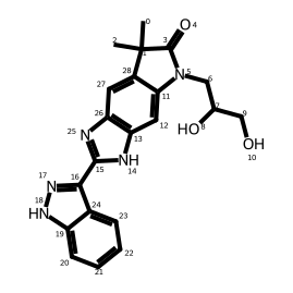 CC1(C)C(=O)N(CC(O)CO)c2cc3[nH]c(-c4n[nH]c5ccccc45)nc3cc21